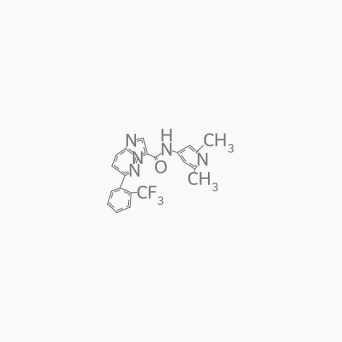 Cc1cc(NC(=O)c2cnc3ccc(-c4ccccc4C(F)(F)F)nn23)cc(C)n1